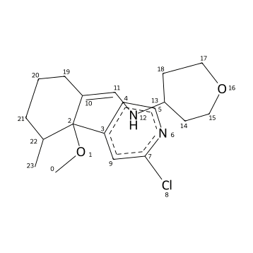 COC1(c2ccnc(Cl)c2)/C(=C\NC2CCOCC2)CCCC1C